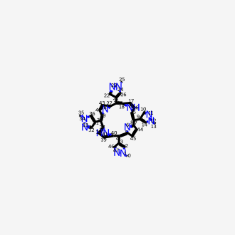 Cn1cc(-c2c3nc(c(-c4cnn(C)c4)c4ccc([nH]4)c(-c4cnn(C)c4)c4nc(c(-c5cnn(C)c5)c5ccc2[nH]5)C=C4)C=C3)cn1